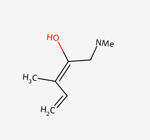 C=C/C(C)=C(/O)CNC